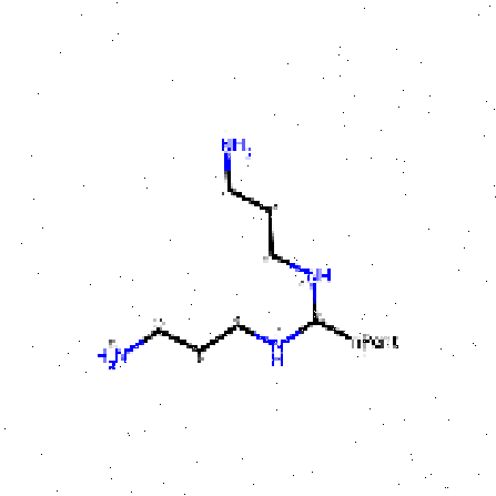 CCCCCC(NCCCN)NCCCN